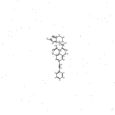 CN1C(=O)N(c2c(F)cc(C#Cc3ccccc3)cc2F)C(=O)C[C@]12CCCc1nn(C)cc12